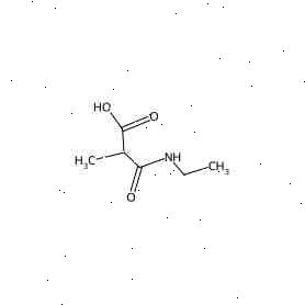 CCNC(=O)[C](C)C(=O)O